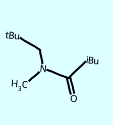 CCC(C)C(=O)N(C)CC(C)(C)C